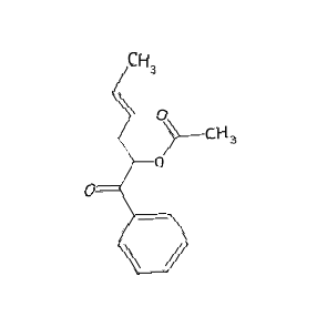 CC=CCC(OC(C)=O)C(=O)c1ccccc1